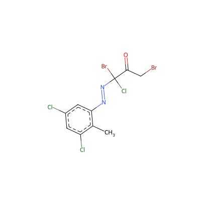 Cc1c(Cl)cc(Cl)cc1N=NC(Cl)(Br)C(=O)CBr